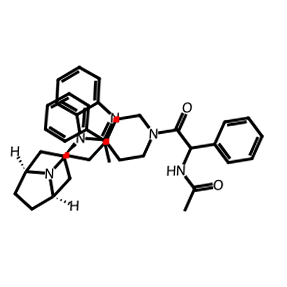 CC(=O)NC(C(=O)N1CCC(CCN2[C@@H]3CC[C@H]2C[C@@H](n2c(C)nc4ccccc42)C3)(c2ccccc2)CC1)c1ccccc1